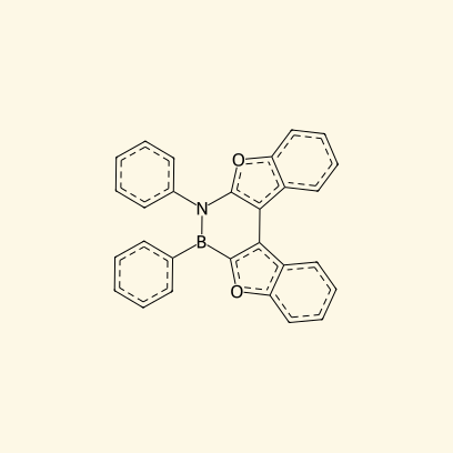 c1ccc(B2c3oc4ccccc4c3-c3c(oc4ccccc34)N2c2ccccc2)cc1